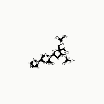 CC(C)C(=O)OCC1(CCl)OC(n2ncc(-n3cncn3)nc2=O)CC1OC(=O)C(C)C